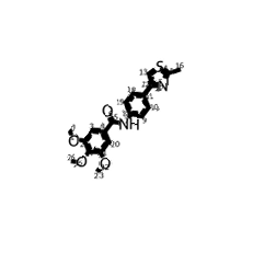 COc1cc(C(=O)Nc2ccc(-c3csc(C)n3)cc2)cc(OC)c1OC